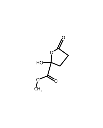 COC(=O)C1(O)CCC(=O)O1